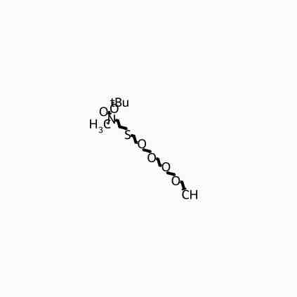 C#CCOCCOCCOCCOCCSCCCN(C)C(=O)OC(C)(C)C